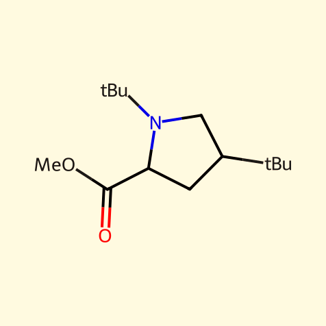 COC(=O)C1CC(C(C)(C)C)CN1C(C)(C)C